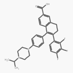 CC(C)N1CCN(c2ccc(C3=C(c4ccc(F)c(F)c4F)CCc4cc(C(=O)O)ccc43)cc2)CC1